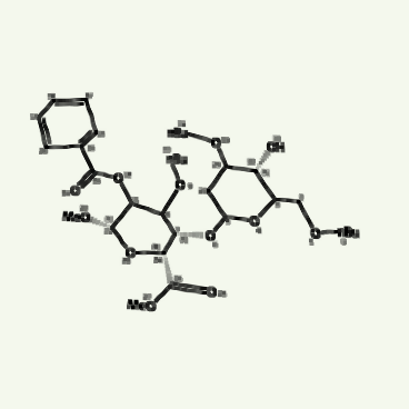 CCCCOCC1OC(O[C@H]2C(OCCCC)C(OC(=O)c3ccccc3)[C@@H](OC)O[C@H]2C(=O)OC)CC(OCCCC)[C@@H]1O